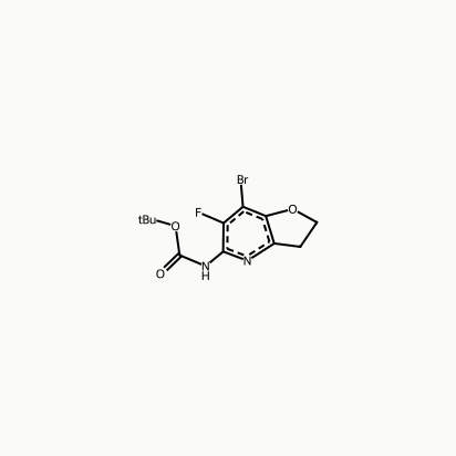 CC(C)(C)OC(=O)Nc1nc2c(c(Br)c1F)OCC2